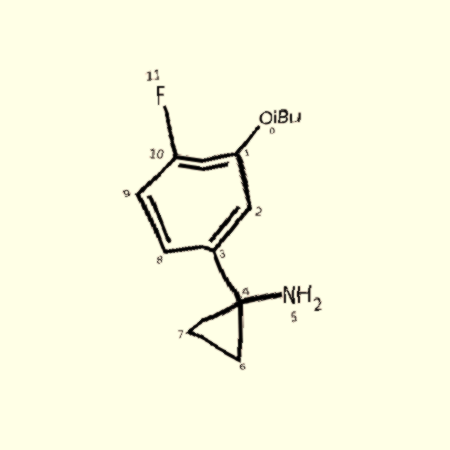 CC(C)COc1cc(C2(N)CC2)ccc1F